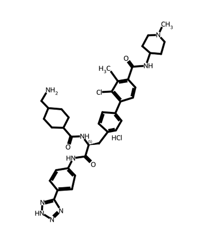 Cc1c(C(=O)NC2CCN(C)CC2)ccc(-c2ccc(C[C@H](NC(=O)C3CCC(CN)CC3)C(=O)Nc3ccc(-c4nn[nH]n4)cc3)cc2)c1Cl.Cl